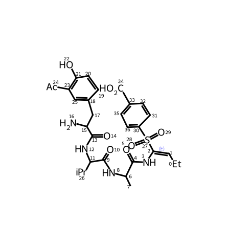 CC/C=C(\NC(=O)C(C)NC(=O)C(NC(=O)C(N)Cc1ccc(O)c(C(C)=O)c1)C(C)C)S(=O)(=O)c1ccc(C(=O)O)cc1